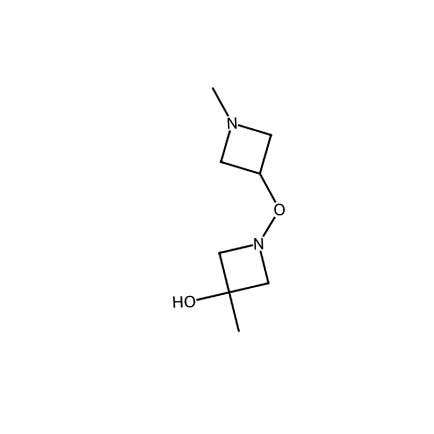 CN1CC(ON2CC(C)(O)C2)C1